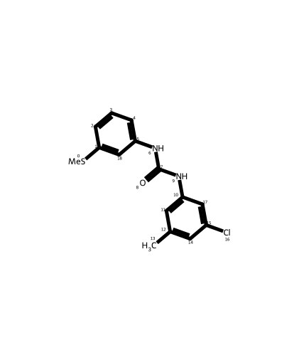 CSc1cccc(NC(=O)Nc2cc(C)cc(Cl)c2)c1